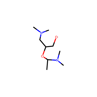 CC(OC(C[O])CN(C)C)N(C)C